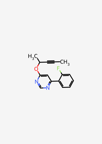 CC#CC(C)Oc1cc(-c2ccccc2F)ncn1